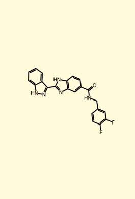 O=C(NCc1ccc(F)c(F)c1)c1ccc2[nH]c(-c3n[nH]c4ccccc34)nc2c1